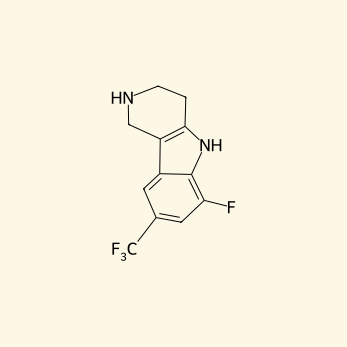 Fc1cc(C(F)(F)F)cc2c3c([nH]c12)CCNC3